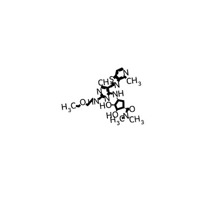 CCOCCNc1nc(C)c(-c2nc3c(C)nccc3s2)c(N[C@@H]2C[C@H](C(=O)N(C)C)[C@@H](O)[C@H]2O)n1